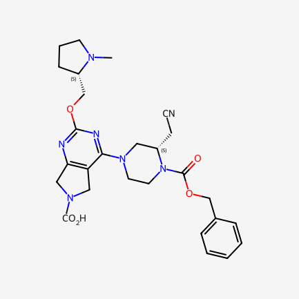 CN1CCC[C@H]1COc1nc2c(c(N3CCN(C(=O)OCc4ccccc4)[C@@H](CC#N)C3)n1)CN(C(=O)O)C2